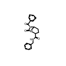 O=C(NCc1ccccc1)C1CCC2CN1C(=O)N2C(=O)c1ccccc1